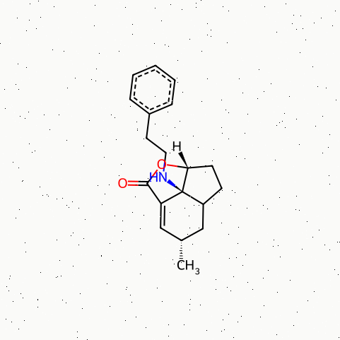 C[C@@H]1C=C2C(=O)O[C@@H]3CCC(C1)[C@]23NCCc1ccccc1